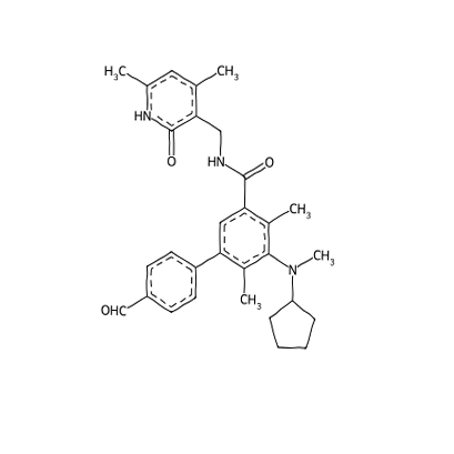 Cc1cc(C)c(CNC(=O)c2cc(-c3ccc(C=O)cc3)c(C)c(N(C)C3CCCC3)c2C)c(=O)[nH]1